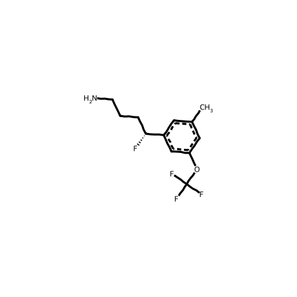 Cc1cc(OC(F)(F)F)cc([C@H](F)CCCN)c1